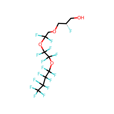 OC[C@H](F)COCC(F)(F)OC(F)(F)C(F)(F)OC(F)(F)C(F)(F)C(F)(F)C(F)(F)F